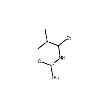 CCC(N[S+]([O-])C(C)(C)C)B(C)C